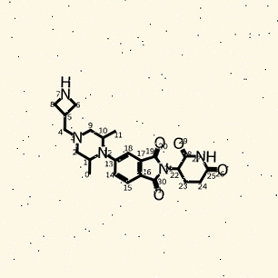 CC1CN(CC2CNC2)CC(C)N1c1ccc2c(c1)C(=O)N(C1CCC(=O)NC1=O)C2=O